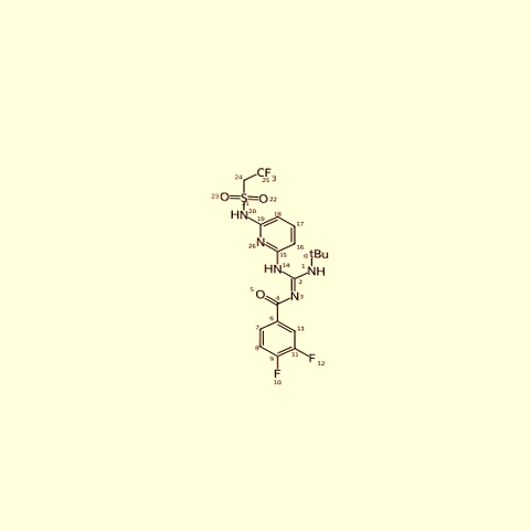 CC(C)(C)N/C(=N/C(=O)c1ccc(F)c(F)c1)Nc1cccc(NS(=O)(=O)CC(F)(F)F)n1